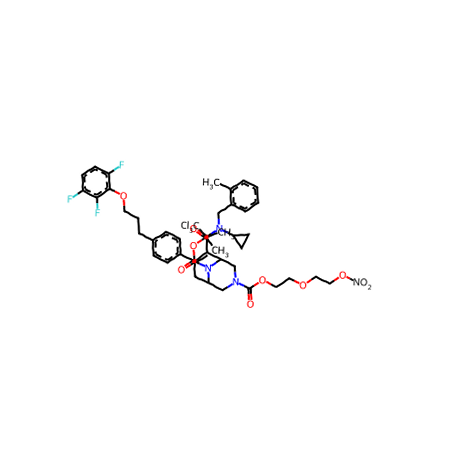 Cc1ccccc1CN(C(=O)C1=C(c2ccc(CCCOc3c(F)ccc(F)c3F)cc2)CC2CN(C(=O)OCCOCCO[N+](=O)[O-])CC1N2C(=O)OC(C)(C)C(Cl)(Cl)Cl)C1CC1